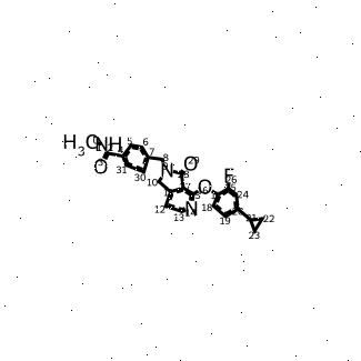 CNC(=O)c1ccc(CN2Cc3ccnc(Oc4ccc(C5CC5)cc4F)c3C2=O)cc1